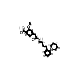 CCOc1cc(CC(=O)NCCCCc2ccccc2N2CCCCC2)ccc1C(=O)O